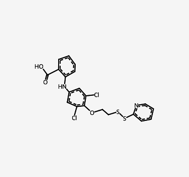 O=C(O)c1ccccc1Nc1cc(Cl)c(OCCSSc2ccccn2)c(Cl)c1